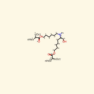 CCCCCCCCC(CCCCCC)C(=O)OCCCCCCN(C)C(CO)CCCCCOC(=O)C(CCCCCC)CCCCCCCC